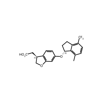 Cc1ccc(C(F)(F)F)c2c1[C@H](Oc1ccc3c(c1)OC[C@H]3CC(=O)O)CC2